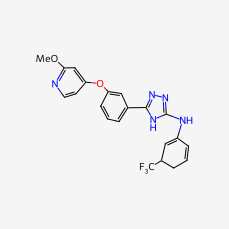 COc1cc(Oc2cccc(-c3nnc(NC4=CC(C(F)(F)F)CC=C4)[nH]3)c2)ccn1